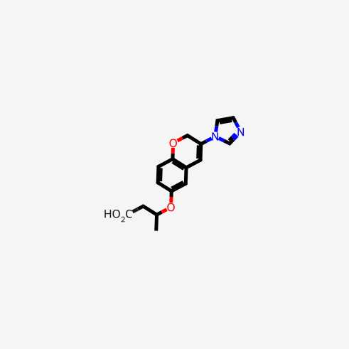 CC(CC(=O)O)Oc1ccc2c(c1)C=C(n1ccnc1)CO2